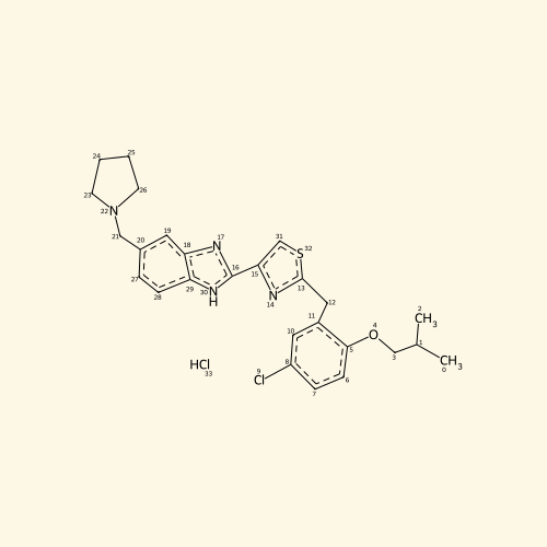 CC(C)COc1ccc(Cl)cc1Cc1nc(-c2nc3cc(CN4CCCC4)ccc3[nH]2)cs1.Cl